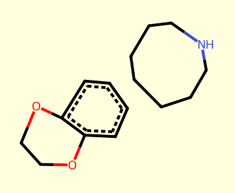 C1CCCNCCC1.c1ccc2c(c1)OCCO2